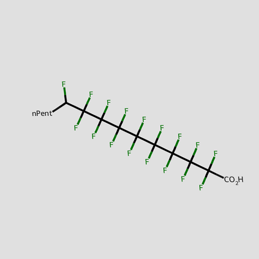 CCCCCC(F)C(F)(F)C(F)(F)C(F)(F)C(F)(F)C(F)(F)C(F)(F)C(F)(F)C(F)(F)C(=O)O